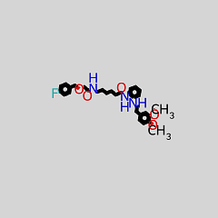 COc1ccc(CCNc2ccccc2NC(=O)CCCCCNC(=O)COCc2ccc(F)cc2)cc1OC